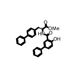 COC(=O)[C@H](Cc1ccc(-c2ccccc2)cc1)NC(=O)c1cc(-c2ccccc2)ccc1O